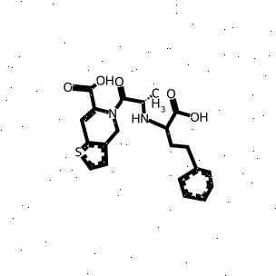 C[C@H](NC(CCc1ccccc1)C(=O)O)C(=O)N1Cc2ccsc2C=C1C(=O)O